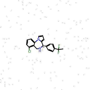 CC(F)(F)c1ccc([C@H]2NCc3c(Cl)cccc3-n3cccc32)cc1